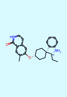 CC[C@@H](N)[C@]1(c2ccccc2)CC[C@@H](Oc2cc3cc[nH]c(=O)c3cc2C)CC1